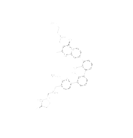 COc1nc(-c2cccc(-c3cccc(-c4ccn5c(=O)c(CNCCO)c(C)nc5c4)c3Cl)c2Cl)ccc1CNC[C@H]1CCC(=O)N1